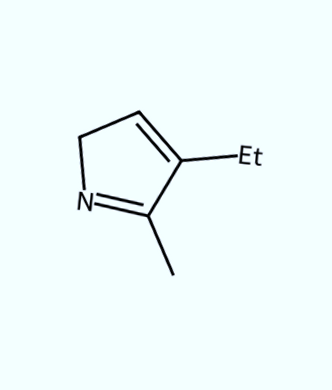 CCC1=CCN=C1C